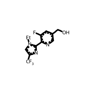 CCn1cc(C(F)(F)F)nc1-c1ncc(CO)cc1F